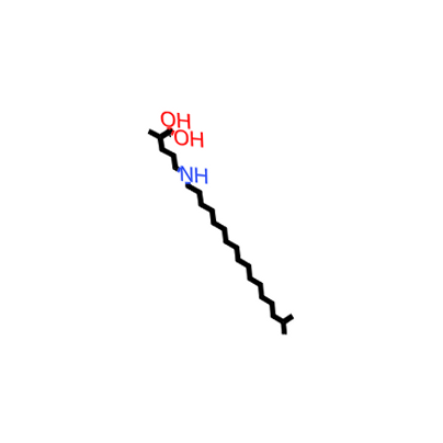 CC(C)CCCCCCCCCCCCCCCNCCCC(C)[C](O)O